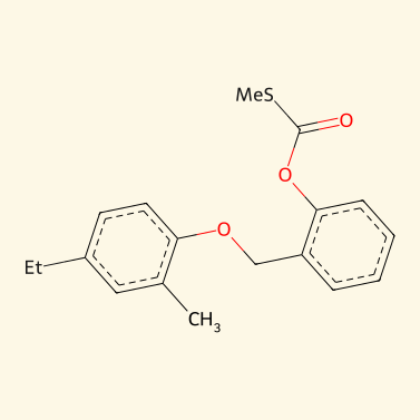 CCc1ccc(OCc2ccccc2OC(=O)SC)c(C)c1